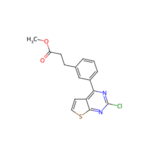 COC(=O)CCc1cccc(-c2nc(Cl)nc3sccc23)c1